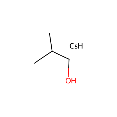 CC(C)CO.[CsH]